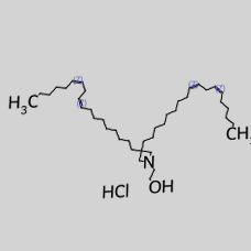 CCCCC/C=C\C/C=C\CCCCCCCCC1(CCCCCCCC/C=C\C/C=C\CCCCC)CN(CCO)C1.Cl